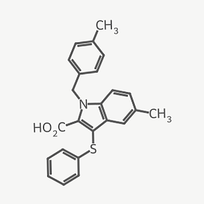 Cc1ccc(Cn2c(C(=O)O)c(Sc3ccccc3)c3cc(C)ccc32)cc1